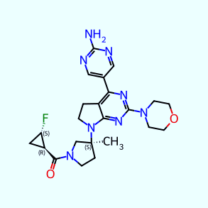 C[C@]1(N2CCc3c(-c4cnc(N)nc4)nc(N4CCOCC4)nc32)CCN(C(=O)[C@H]2C[C@@H]2F)C1